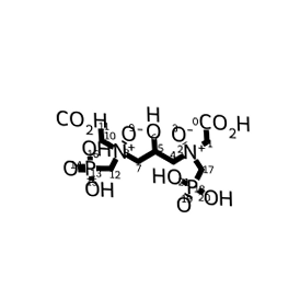 O=C(O)C[N+]([O-])(CC(O)C[N+]([O-])(CC(=O)O)CP(=O)(O)O)CP(=O)(O)O